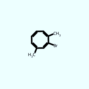 CC1=C/C=C\C=C(C)/C(Br)=C\1